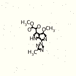 COC(=O)C(=O)c1c[nH]c2c(-n3cnc(C)n3)ncc(OC)c12